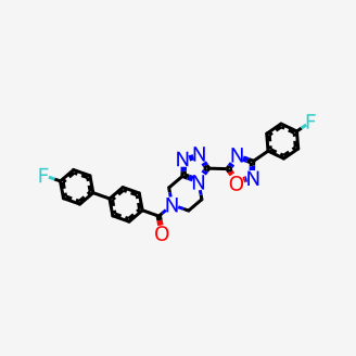 O=C(c1ccc(-c2ccc(F)cc2)cc1)N1CCn2c(nnc2-c2nc(-c3ccc(F)cc3)no2)C1